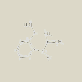 C=C(C)N(C(C)=O)c1ccccc1CN